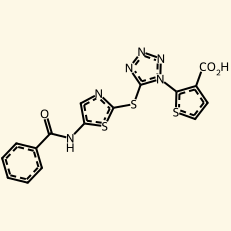 O=C(Nc1cnc(Sc2nnnn2-c2sccc2C(=O)O)s1)c1ccccc1